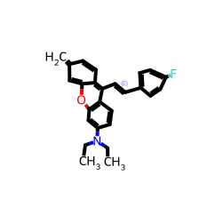 C=c1ccc2c(c1)Oc1cc(N(CC)CC)ccc1C=2/C=C/c1ccc(F)cc1